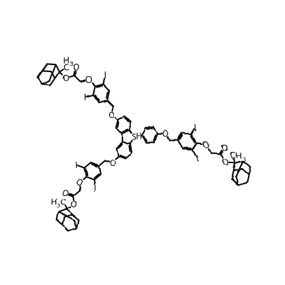 CC1(OC(=O)COc2c(I)cc(COc3ccc([SH]4c5ccc(OCc6cc(I)c(OCC(=O)OC7(C)C8CC9CC(C8)CC7C9)c(I)c6)cc5-c5cc(OCc6cc(I)c(OCC(=O)OC7(C)C8CC9CC(C8)CC7C9)c(I)c6)ccc54)cc3)cc2I)C2CC3CC(C2)CC1C3